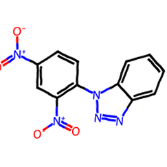 O=[N+]([O-])c1ccc(-n2nnc3ccccc32)c([N+](=O)[O-])c1